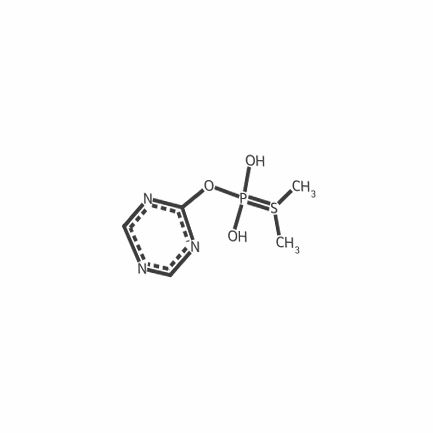 CS(C)=P(O)(O)Oc1ncncn1